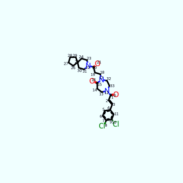 O=C(C=Cc1ccc(Cl)c(Cl)c1)N1CCC(=O)N(CCC(=O)N2CCC3(CCCC3)CC2)CC1